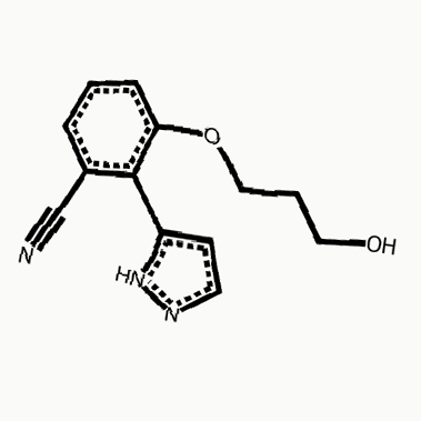 N#Cc1cccc(OCCCO)c1-c1ccn[nH]1